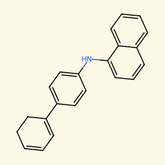 C1=CCCC(c2ccc(Nc3cccc4ccccc34)cc2)=C1